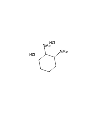 CNC1CCCCC1NC.Cl.Cl